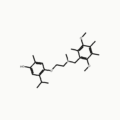 COc1c(C)c(C)c(OC)c(CN(C)CCOc2cc(C)c(O)cc2C(C)C)c1C